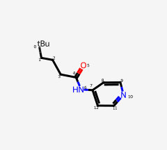 CC(C)(C)CCCC(=O)Nc1ccncc1